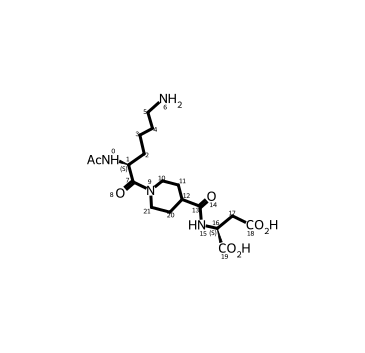 CC(=O)N[C@@H](CCCCN)C(=O)N1CCC(C(=O)N[C@@H](CC(=O)O)C(=O)O)CC1